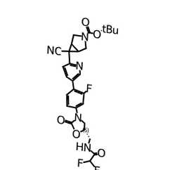 CC(C)(C)OC(=O)N1CC2C(C1)C2(C#N)c1ccc(-c2ccc(N3C[C@H](CNC(=O)C(F)F)OC3=O)cc2F)cn1